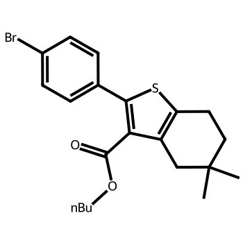 CCCCOC(=O)c1c(-c2ccc(Br)cc2)sc2c1CC(C)(C)CC2